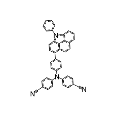 N#Cc1ccc(N(c2ccc(C#N)cc2)c2ccc(-c3ccc4c5c3ccc3cccc(c35)n4-c3ccccc3)cc2)cc1